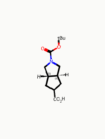 CC(C)(C)OC(=O)N1C[C@H]2CC(C(=O)O)C[C@@H]2C1